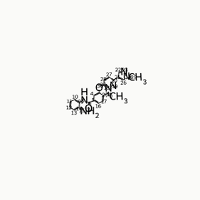 C[C@@H](c1ccc(C(=O)Nc2ccccc2N)cc1)n1nc(-c2cnn(C)c2)ccc1=O